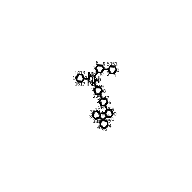 c1ccc(-c2cccc(-c3nc(-c4ccccc4)nc(-c4ccc(-c5ccc(-c6cccc7c6-c6ccccc6C76CCCCC6)cc5)cc4)n3)c2)cc1